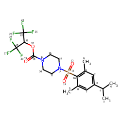 Cc1cc(C(C)C)cc(C)c1S(=O)(=O)N1CCN(C(=O)OC(C(F)(F)F)C(F)(F)F)CC1